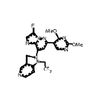 COc1ncc(-c2cc(N3Cc4cnccc4N3CC(F)(F)F)c3ncc(F)n3n2)c(OC)n1